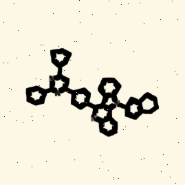 C1=Cc2cc(-n3c4ccccc4c4c(-c5ccc(-c6cc(-c7ccccc7)nc(-c7ccccc7)n6)cc5)nc5ccccc5c43)ccc2CC1